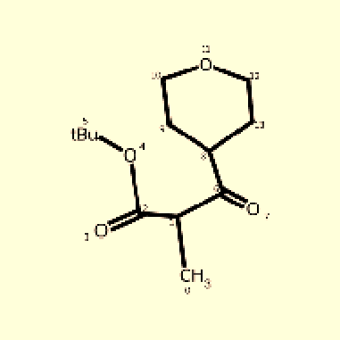 CC(C(=O)OC(C)(C)C)C(=O)C1CCOCC1